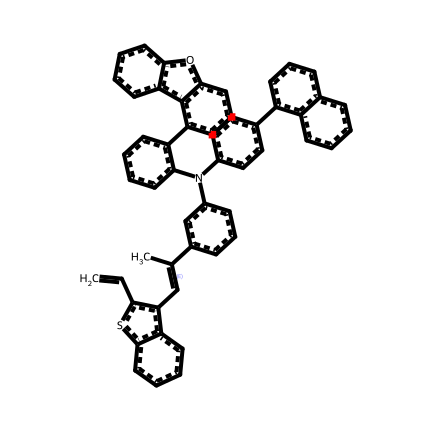 C=Cc1sc2ccccc2c1/C=C(\C)c1cccc(N(c2ccc(-c3cccc4ccccc34)cc2)c2ccccc2-c2cccc3oc4ccccc4c23)c1